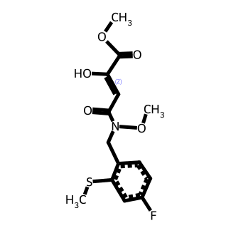 COC(=O)/C(O)=C/C(=O)N(Cc1ccc(F)cc1SC)OC